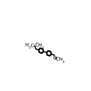 COCc1ccc(-c2ccc(CC(C)C)cc2)cc1